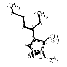 CCCCC(CC)c1cnn(C)c1C